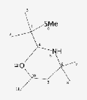 CSC(C)(C)C1NC(C)(C)CC(C)O1